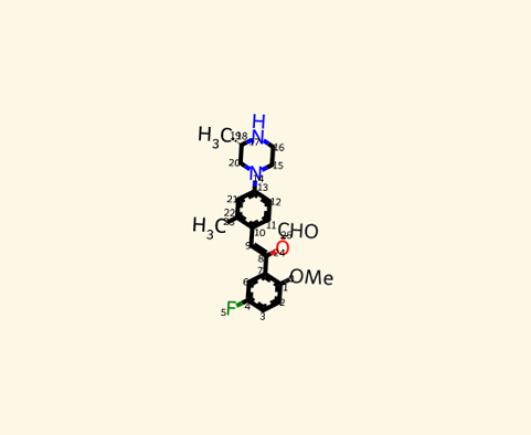 COc1ccc(F)cc1/C(=C/c1ccc(N2CCN[C@@H](C)C2)cc1C)OC=O